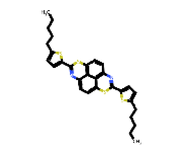 CCCCCc1ccc(C2=Nc3ccc4c5c(ccc(c35)S2)N=C(c2ccc(CCCCC)s2)S4)s1